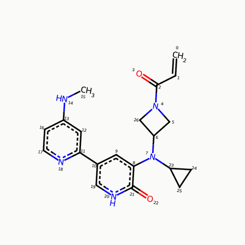 C=CC(=O)N1CC(N(c2cc(-c3cc(NC)ccn3)c[nH]c2=O)C2CC2)C1